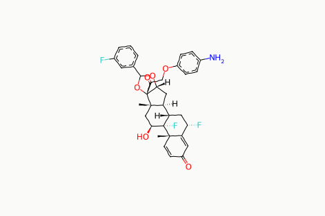 C[C@]12C=CC(=O)C=C1[C@@H](F)C[C@H]1[C@@H]3C[C@H]4OC(c5cccc(F)c5)O[C@@]4(C(=O)COc4ccc(N)cc4)[C@@]3(C)C[C@H](O)[C@@]12F